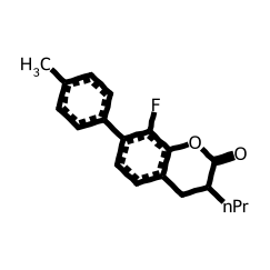 CCCC1Cc2ccc(-c3ccc(C)cc3)c(F)c2OC1=O